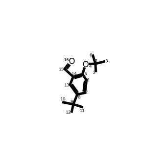 CC(C)(C)Oc1ccc(C(C)(C)C)cc1C=O